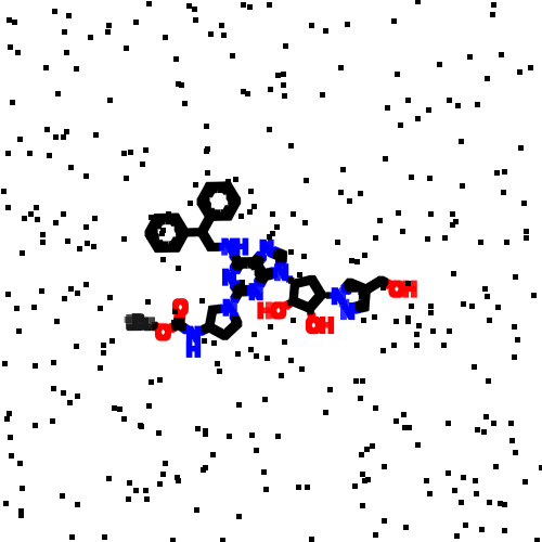 CC(C)(C)OC(=O)NC1CCN(c2nc(NCC(c3ccccc3)c3ccccc3)c3ncn([C@@H]4C[C@H](n5cc(CO)cn5)[C@@H](O)[C@H]4O)c3n2)C1